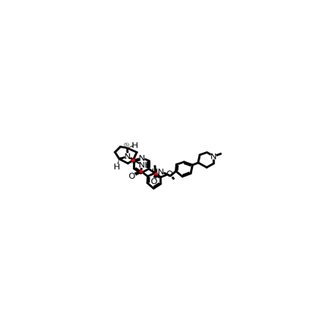 COc1cccc(C(=O)N[C@H]2C[C@H]3CC[C@@H](C2)N3c2ccc(C(=O)NCc3ccc(C4CCN(C)CC4)cc3)cn2)c1C